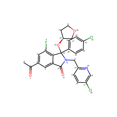 CC(=O)c1cc(F)c2c(c1)C(=O)N(Cc1ccc(Cl)cn1)C2(O[C@H]1CCOC1)c1ccc(Cl)cc1